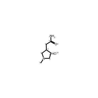 CN1CCC(CC(N)=O)C1.Cl